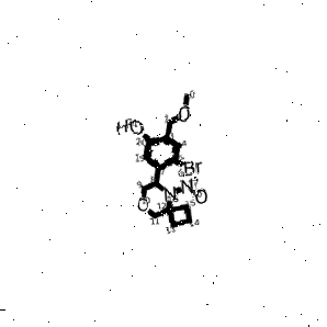 COCc1cc(Br)c(C2COCC3(CCC3)N2N=O)cc1O